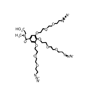 CN(CC(=O)O)C(=O)c1cc(OCCOCCOCCN=[N+]=[N-])c(OCCOCCOCCN=[N+]=[N-])c(OCCOCCOCCN=[N+]=[N-])c1